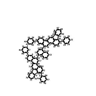 c1ccc(-c2ccc3c(c2)c(-c2ccc(-c4cc5c6ccc(-c7ccccc7)c7c6c(cc5c5ccc(-c6ccccc6)cc45)-c4ncccc4-7)c4ccccc24)cc2c4ccc(-c5ccccc5)c5c4c(cc32)-c2ncccc2-5)cc1